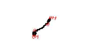 O=C(CCCCCCCCCCC(=O)c1ccc(O)cc1)c1ccc(O)cc1